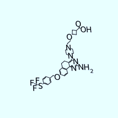 Nc1nc2c(c(N3CCN(CCOC4CC(C(=O)O)C4)CC3)n1)CCc1cc(OCc3ccc(SC(F)(F)F)cc3)ccc1-2